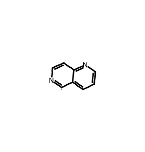 [c]1nccc2ncccc12